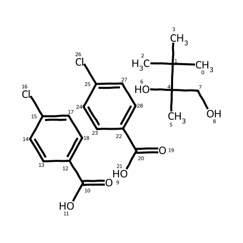 CC(C)(C)C(C)(O)CO.O=C(O)c1ccc(Cl)cc1.O=C(O)c1ccc(Cl)cc1